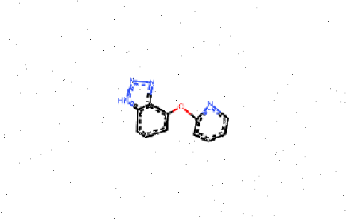 c1ccc(Oc2cccc3[nH]nnc23)nc1